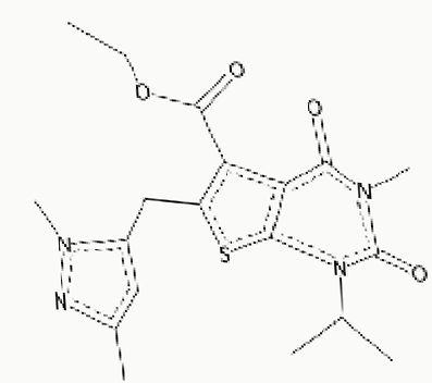 CCOC(=O)c1c(Cc2cc(C)nn2C)sc2c1c(=O)n(C)c(=O)n2C(C)C